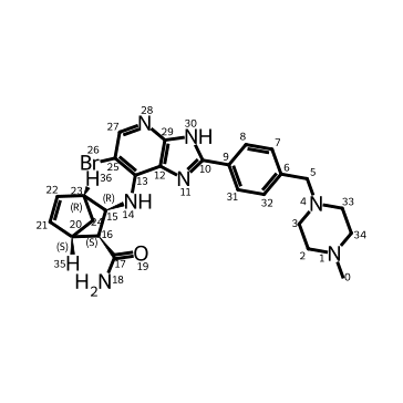 CN1CCN(Cc2ccc(-c3nc4c(N[C@H]5[C@@H](C(N)=O)[C@@H]6C=C[C@H]5C6)c(Br)cnc4[nH]3)cc2)CC1